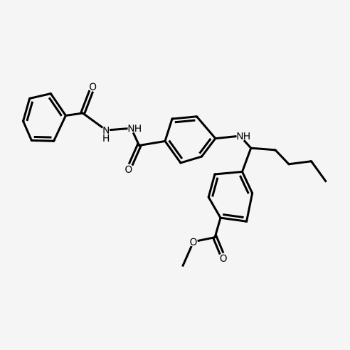 CCCCC(Nc1ccc(C(=O)NNC(=O)c2ccccc2)cc1)c1ccc(C(=O)OC)cc1